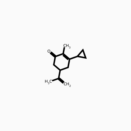 C=C(C)C1CC(=O)C(C)=C(C2CC2)C1